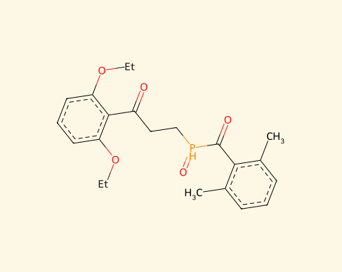 CCOc1cccc(OCC)c1C(=O)CC[PH](=O)C(=O)c1c(C)cccc1C